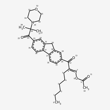 CCCCCC/C(=N\OC(C)=O)C(=O)c1ccc2c(c1)Cc1cc(C(=O)C(C)(C)N3CCOCC3)ccc1-2